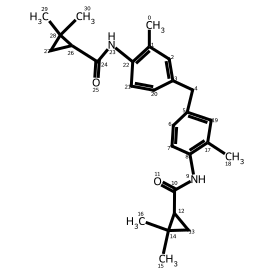 Cc1cc(Cc2ccc(NC(=O)C3CC3(C)C)c(C)c2)ccc1NC(=O)C1CC1(C)C